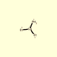 C[CH2][Ga]([PH2])[CH2]C